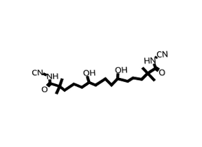 [C-]#[N+]NC(=O)C(C)(C)CCCC(O)CCCC(O)CCCC(C)(C)C(=O)NC#N